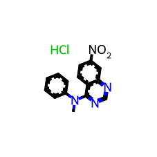 CN(c1ccccc1)c1ncnc2cc([N+](=O)[O-])ccc12.Cl